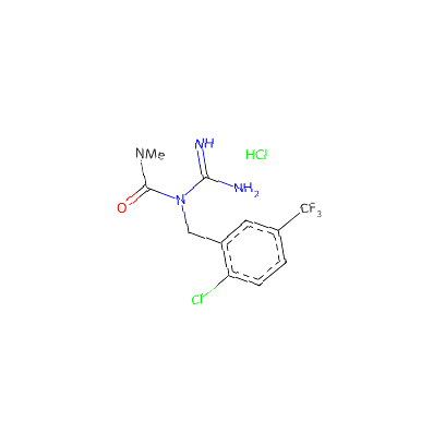 CNC(=O)N(Cc1cc(C(F)(F)F)ccc1Cl)C(=N)N.Cl